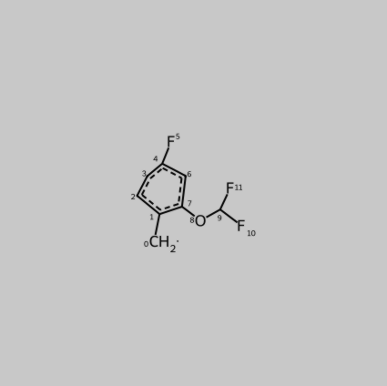 [CH2]c1ccc(F)cc1OC(F)F